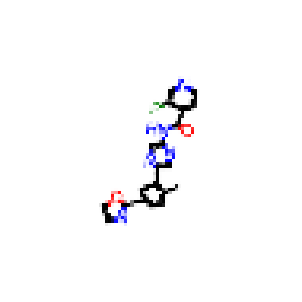 Cc1ccc(-c2ncco2)cc1-c1cnc(NC(=O)c2ccncc2F)cn1